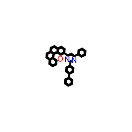 c1ccc(-c2ccc(-c3nc(-c4ccccc4)cc(-c4ccc5ccc6ccc7cccc8c7c6c5c4O8)n3)cc2)cc1